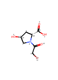 O=C(O)[C@H]1C[C@H](O)CN1C(=O)CBr